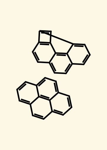 c1cc2ccc3ccc4c5cc4c3c2c5c1.c1cc2ccc3cccc4ccc(c1)c2c34